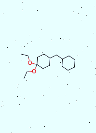 CCOC1(OCC)CCC(CC2CCCCC2)CC1